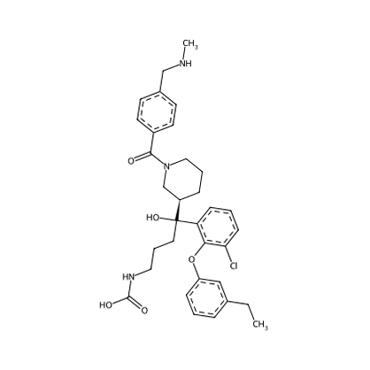 CCc1cccc(Oc2c(Cl)cccc2C(O)(CCCNC(=O)O)[C@@H]2CCCN(C(=O)c3ccc(CNC)cc3)C2)c1